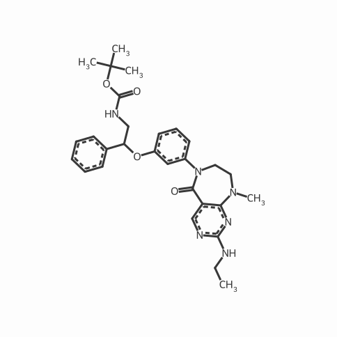 CCNc1ncc2c(n1)N(C)CCN(c1cccc(OC(CNC(=O)OC(C)(C)C)c3ccccc3)c1)C2=O